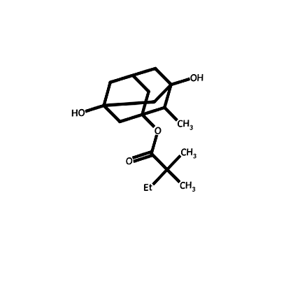 CCC(C)(C)C(=O)OC12CC3CC(O)(CC(O)(C3)C1C)C2